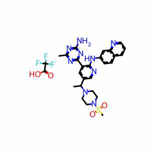 Cc1nc(N)nc(-c2cc(C(C)N3CCN(S(C)(=O)=O)CC3)cnc2Nc2ccc3cccnc3c2)n1.O=C(O)C(F)(F)F